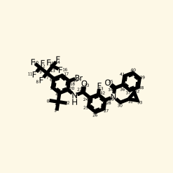 CC(C)(C)c1cc(C(F)(C(F)(F)F)C(F)(F)F)cc(Br)c1NC(=O)c1cccc(N(CC2CC2)C(=O)c2ccccc2)c1F